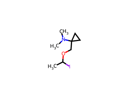 CC(I)OCC1(N(C)C)CC1